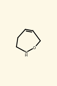 [C]1=CCCNOC1